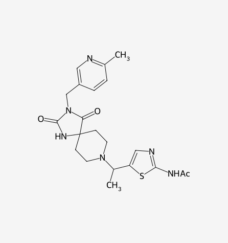 CC(=O)Nc1ncc(C(C)N2CCC3(CC2)NC(=O)N(Cc2ccc(C)nc2)C3=O)s1